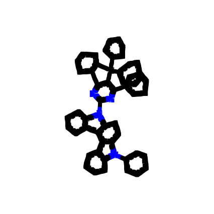 c1ccc(-c2nc(-n3c4ccccc4c4c5c6ccccc6n(-c6ccccc6)c5ccc43)nc3c2[Si](c2ccccc2)(c2ccccc2)c2ccccc2-3)cc1